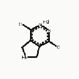 Cl.Clc1nnc(Cl)c2c1CNC2